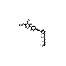 C[C@H](O)[C@H](NC(=O)c1ccc(C#Cc2ccc(CNCCCN)o2)cc1)C(=O)NO